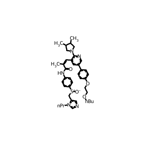 CCCCOCCOc1ccc(-c2cnc(N3CC(C)C(C)C3)c(C=C(C)C(=O)Nc3ccc([S+]([O-])Cc4cncn4CCC)cc3)c2)cc1